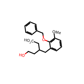 COc1cccc(CC(CCO)CC(=O)O)c1OCc1ccccc1